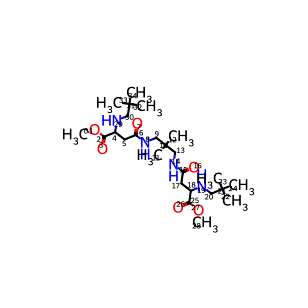 COC(=O)C(CC(=O)NCC(C)(C)CNC(=O)CC(NCC(C)(C)C)C(=O)OC)NCC(C)(C)C